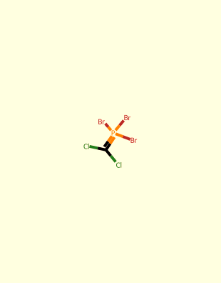 ClC(Cl)=P(Br)(Br)Br